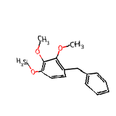 COc1c(Cc2ccccc2)ccc(O[SiH3])c1OC